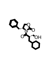 O=C1OC[C@@H](Cc2ccccc2)N1C(=O)[C@H](CO)CC1CCCCC1